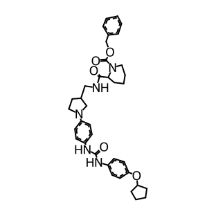 O=C(Nc1ccc(OC2CCCC2)cc1)Nc1ccc(N2CCC(CNC(=O)C3CCCCN3C(=O)OCc3ccccc3)C2)cc1